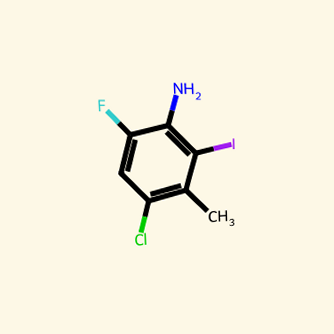 Cc1c(Cl)cc(F)c(N)c1I